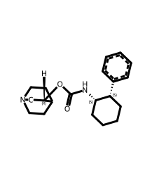 O=C(N[C@H]1CCCC[C@H]1c1ccccc1)O[C@H]1CN2CCC1CC2